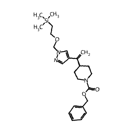 C=C(c1cnn(COCC[Si](C)(C)C)c1)C1CCN(C(=O)OCc2ccccc2)CC1